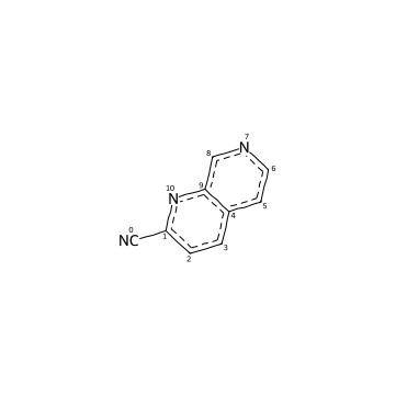 N#Cc1ccc2ccncc2n1